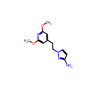 COc1cc(CCn2ccc(N)n2)cc(OC)n1